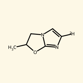 [2H]c1cn2c(n1)OC(C)C2